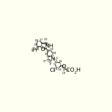 Cc1c(C)n(Cc2cc(Cl)cc(OC(C)C(=O)O)c2)c2ccc(C(=O)N[C@@H](C)c3cccc(C(C)C)c3)cc12